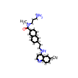 CN(CCCN)C(=O)c1ccc2cc(CCNc3ccnc4ccc(C#N)cc34)ccc2c1